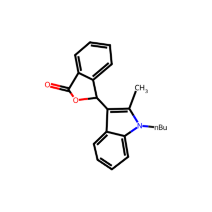 CCCCn1c(C)c(C2OC(=O)c3ccccc32)c2ccccc21